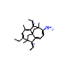 C/C=C1\C2=C(C)C=C(CC)C3(C)CC24CC1(C)C(N)=CC=C4/C3=C/C